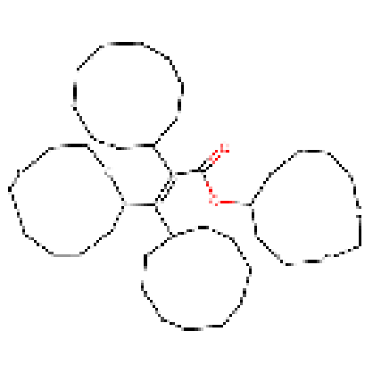 O=C(OC1CCCCCCCCC1)C(=C(C1CCCCCCCCC1)C1CCCCCCCCC1)C1CCCCCCCCC1